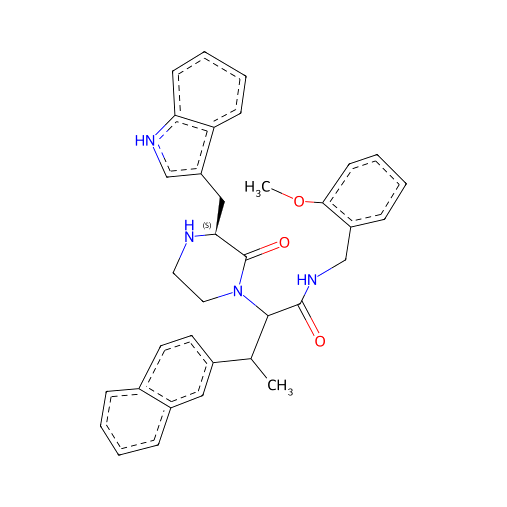 COc1ccccc1CNC(=O)C(C(C)c1ccc2ccccc2c1)N1CCN[C@@H](Cc2c[nH]c3ccccc23)C1=O